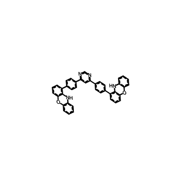 c1ccc2c(c1)Nc1c(cccc1-c1ccc(-c3cc(-c4ccc(-c5cccc6c5Nc5ccccc5O6)cc4)ncn3)cc1)O2